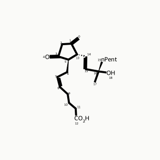 C=C1CC(=O)[C@H](C/C=C\CCCC(=O)O)[C@H]1/C=C/[C@@](C)(O)CCCCC